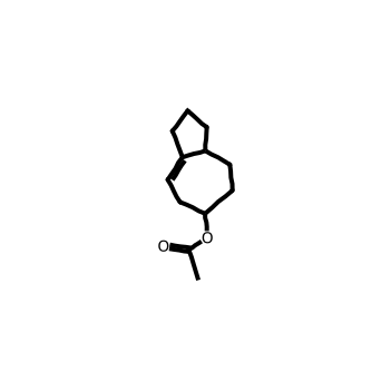 CC(=O)OC1CC=C2CCCC2CC1